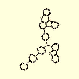 c1ccc(-c2ccc(-c3ccc(N(c4ccc(-c5ccc6c7c5c5ccccc5n7-c5ccccc5O6)cc4)c4cccc5c4sc4ccccc45)cc3)cc2)cc1